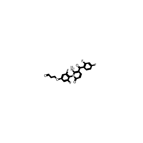 Nc1c(C(=O)c2ccc(F)cc2F)ccc(=O)n1-c1c(F)cc(OCCC=O)cc1F